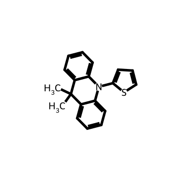 CC1(C)c2ccccc2N(c2cccs2)c2ccccc21